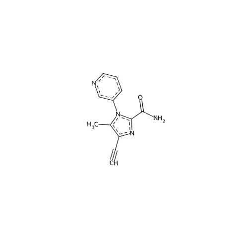 C#Cc1nc(C(N)=O)n(-c2cccnc2)c1C